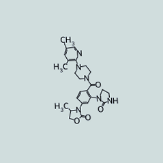 Cc1cnc(N2CCN(C(=O)c3ccc(N4C(=O)OCC4C)cc3N3CCNC3=O)CC2)c(C)c1